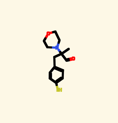 CC(C=O)(Cc1ccc(S)cc1)N1CCOCC1